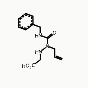 C=CCN(NCC(=O)O)C(=O)NCc1ccccc1